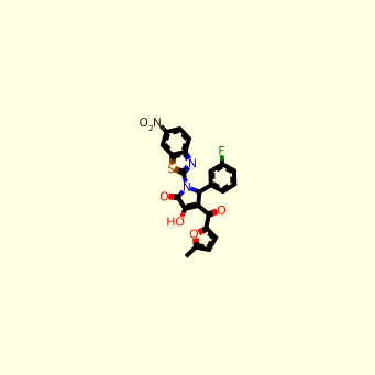 Cc1ccc(C(=O)C2=C(O)C(=O)N(c3nc4ccc([N+](=O)[O-])cc4s3)C2c2cccc(F)c2)o1